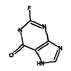 O=C1[N]C(F)=Nc2nc[nH]c21